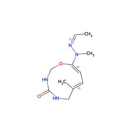 C/C=N\N(C)/C1=C/C=C(\C)CNC(=O)NCO1